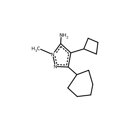 Cn1nc(C2CCCCC2)c(C2CCC2)c1N